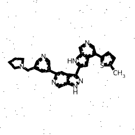 Cc1ccc(-c2cncc3[nH]c(-c4n[nH]c5cnc(-c6cncc(CN7CCCC7)c6)cc45)cc23)s1